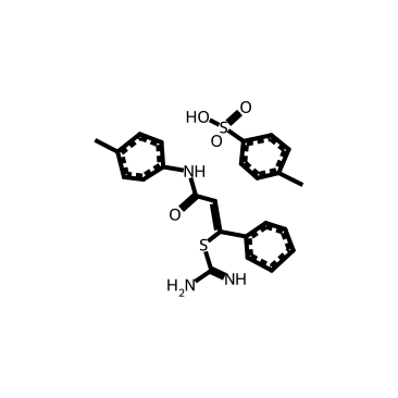 Cc1ccc(NC(=O)C=C(SC(=N)N)c2ccccc2)cc1.Cc1ccc(S(=O)(=O)O)cc1